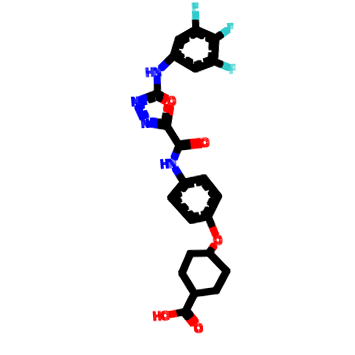 O=C(Nc1ccc(OC2CCC(C(=O)O)CC2)cc1)c1nnc(Nc2cc(F)c(F)c(F)c2)o1